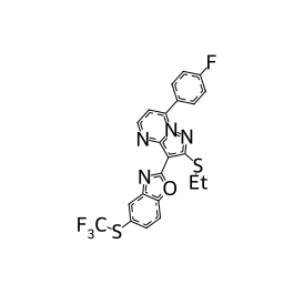 CCSc1nn2c(-c3ccc(F)cc3)ccnc2c1-c1nc2cc(SC(F)(F)F)ccc2o1